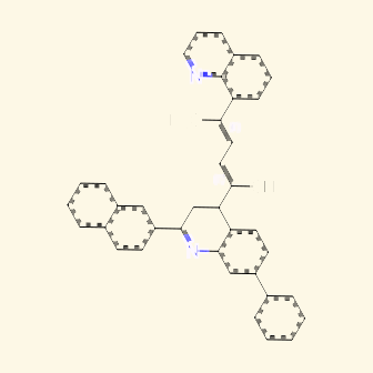 C/C(=C\C=C(/C)C1CC(c2ccc3ccccc3c2)=Nc2cc(-c3ccccc3)ccc21)c1cccc2cccnc12